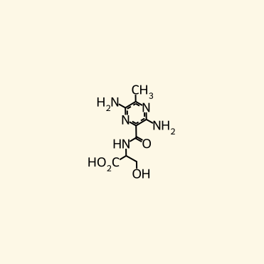 Cc1nc(N)c(C(=O)NC(CO)C(=O)O)nc1N